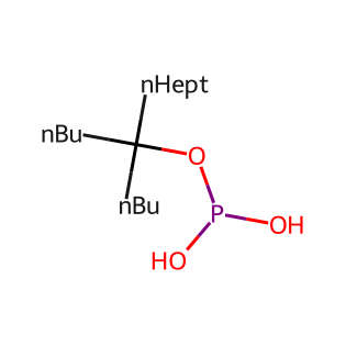 CCCCCCCC(CCCC)(CCCC)OP(O)O